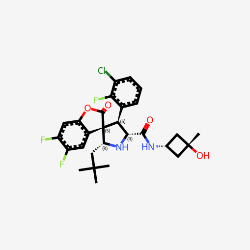 CC(C)(C)C[C@H]1N[C@@H](C(=O)N[C@H]2C[C@@](C)(O)C2)[C@H](c2cccc(Cl)c2F)[C@@]12C(=O)Oc1cc(F)c(F)cc12